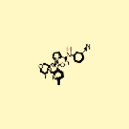 Cc1ccc(S(=O)(=O)N2CCC[C@H]2C(=O)N[C@@H]2CCC[C@@H](C#N)C2)c(N2[C@@H](C)COC[C@@H]2C)n1